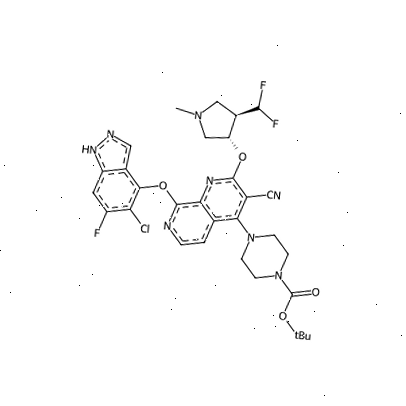 CN1C[C@@H](Oc2nc3c(Oc4c(Cl)c(F)cc5[nH]ncc45)nccc3c(N3CCN(C(=O)OC(C)(C)C)CC3)c2C#N)[C@H](C(F)F)C1